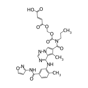 CCCN(C(=O)OCOC(=O)/C=C/C(=O)O)C(=O)c1cn2ncnc(Nc3cc(C(=O)Nc4ccon4)ccc3C)c2c1C